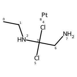 CCNC(Cl)(Cl)CN.[Pt]